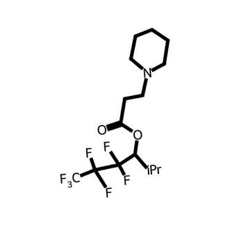 CC(C)C(OC(=O)CCN1CCCCC1)C(F)(F)C(F)(F)C(F)(F)F